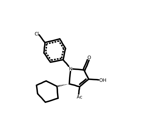 CC(=O)C1=C(O)C(=O)N(c2ccc(Cl)cc2)[C@H]1C1CCCCC1